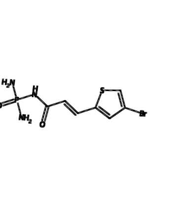 NP(N)(=O)NC(=O)/C=C/c1cc(Br)cs1